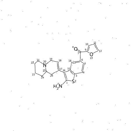 Nc1sc2ccc(C(=O)c3ccco3)cc2c1C1=CCN2CCCCC2C1